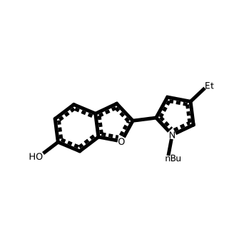 CCCCn1cc(CC)cc1-c1cc2ccc(O)cc2o1